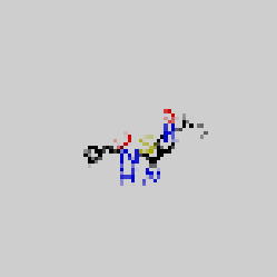 CC(=O)N1CCc2c(sc(NC(=O)C=Cc3ccccc3)c2C#N)C1